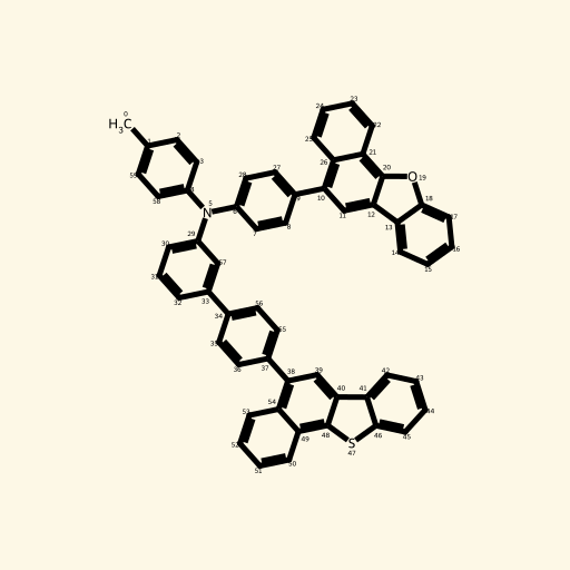 Cc1ccc(N(c2ccc(-c3cc4c5ccccc5oc4c4ccccc34)cc2)c2cccc(-c3ccc(-c4cc5c6ccccc6sc5c5ccccc45)cc3)c2)cc1